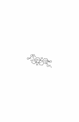 CN1C(=O)CC[C@@]2(C)C1CC[C@@H]1[C@@H]3CC[C@H](C(=O)Cl)[C@@]3(C)CC[C@@H]12